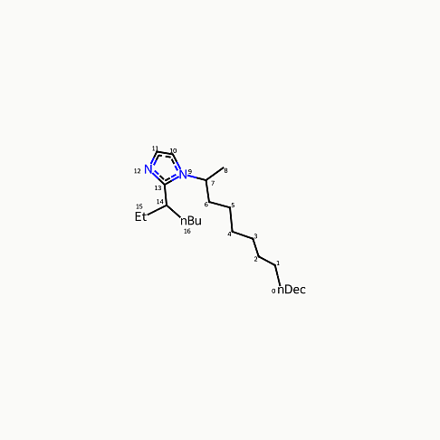 CCCCCCCCCCCCCCCCC(C)n1ccnc1C(CC)CCCC